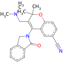 CN(C)CC1=C(N2Cc3ccccc3C2=O)c2cc(C#N)ccc2OC1(C)C